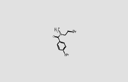 CCCc1ccc(C(=O)N(C)CCC(C)C)cc1